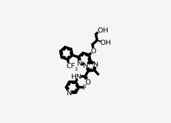 Cc1nc2c(OC[C@H](O)CO)cc(-c3ccccc3C(F)(F)F)nn2c1C(=O)Nc1ccncc1F